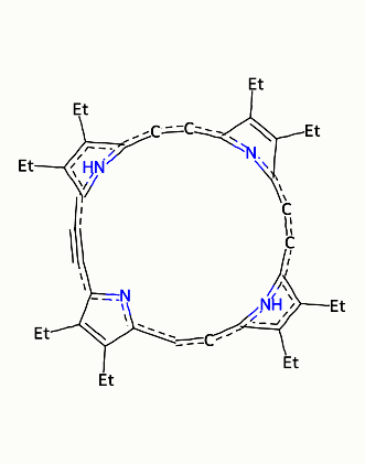 CCC1=C(CC)c2ccc3[nH]c(ccc4nc(ccc5[nH]c(c#cc1n2)c(CC)c5CC)C(CC)=C4CC)c(CC)c3CC